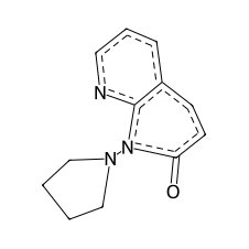 O=c1ccc2cccnc2n1N1CCCC1